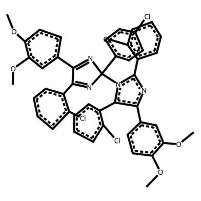 COc1ccc(C2=NC(c3ccc(Cl)cc3)(n3c(-c4ccccc4Cl)nc(-c4ccc(OC)c(OC)c4)c3-c3ccccc3Cl)N=C2c2ccccc2Cl)cc1OC